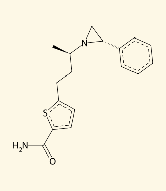 C[C@H](CCc1ccc(C(N)=O)s1)N1C[C@@H]1c1ccccc1